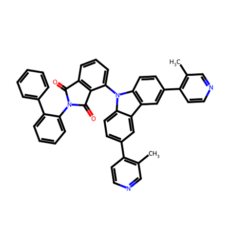 Cc1cnccc1-c1ccc2c(c1)c1cc(-c3ccncc3C)ccc1n2-c1cccc2c1C(=O)N(c1ccccc1-c1ccccc1)C2=O